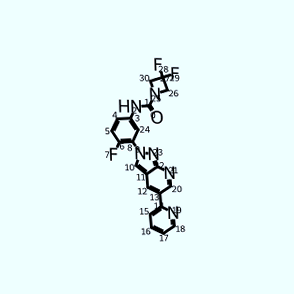 O=C(Nc1ccc(F)c(-n2cc3cc(-c4ccccn4)cnc3n2)c1)N1CC(F)(F)C1